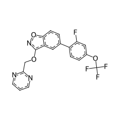 Fc1cc(OC(F)(F)F)ccc1-c1ccc2onc(OCc3ncccn3)c2c1